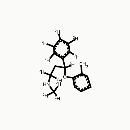 [2H]c1c([2H])c([2H])c(C([2H])(CC([2H])([2H])NC([2H])([2H])[2H])Oc2ccccc2C)c([2H])c1[2H]